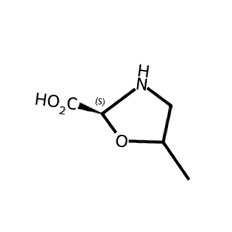 CC1CN[C@H](C(=O)O)O1